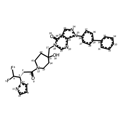 O=C(C[C@@H](C(F)F)n1cccn1)N1CCC(O)(Cn2cnc3c(cnn3-c3ccc(-c4ccccc4)cc3)c2=O)CC1